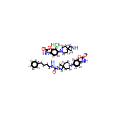 Cl.O=C(NCCCCc1ccccc1)N1CC2(CCN(c3ccc4[nH]c(=O)oc4c3)CC2)C1.O=c1[nH]c2ccc(N3CCC4(CC3)CNC4)cc2o1